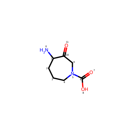 NC1CCCN(C(=O)O)CC1=O